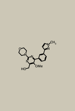 COc1c(CO)nc(N2CCOCC2)nc1-c1cccc(-c2ccn(C)n2)c1